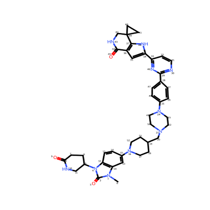 Cn1c(=O)n(C2CCC(=O)NC2)c2ccc(N3CCC(CN4CCN(c5ccc(-c6nccc(-c7cc8c([nH]7)C7(CC7)CNC8=O)n6)cc5)CC4)CC3)cc21